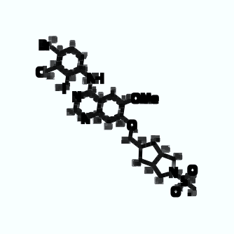 COc1cc2c(Nc3ccc(Br)c(Cl)c3F)ncnc2cc1OCC1CC2CN(S(C)(=O)=O)CC2C1